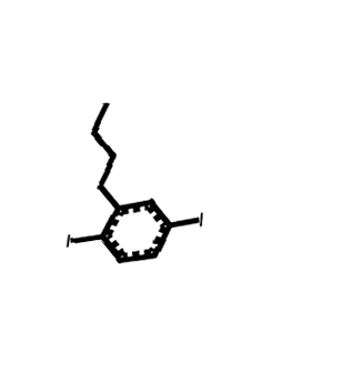 CCCCc1cc(I)ccc1I